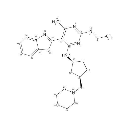 Cc1nc(NCC(F)(F)F)nc(N[C@H]2CC[C@@H](CN3CCOCC3)C2)c1-c1nc2ccccc2s1